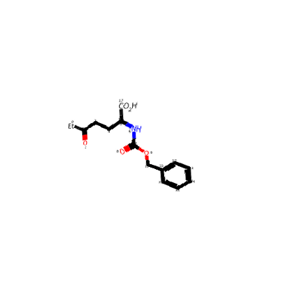 CCC(=O)CCC(NC(=O)OCc1ccccc1)C(=O)O